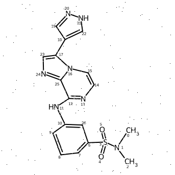 CN(C)S(=O)(=O)c1cccc(Nc2nccn3c(-c4cn[nH]c4)cnc23)c1